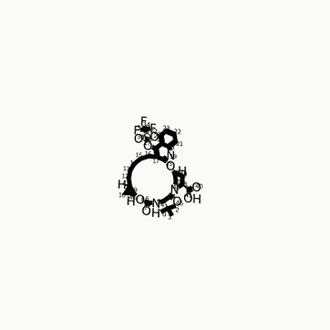 CC(C)(C)[C@@H]1NC(=O)O[C@@H]2C[C@H]2CCCCCc2c(nc3ccccc3c2OS(=O)(=O)C(F)(F)F)O[C@@H]2C[C@@H](C(=O)O)N(C2)C1=O